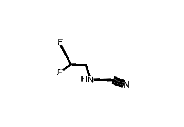 N#CNCC(F)F